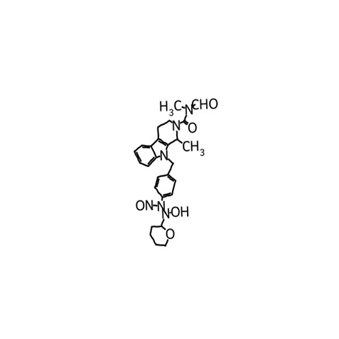 CC1c2c(c3ccccc3n2Cc2ccc(N(N=O)N(O)C3CCCCO3)cc2)CCN1C(=O)N(C)C=O